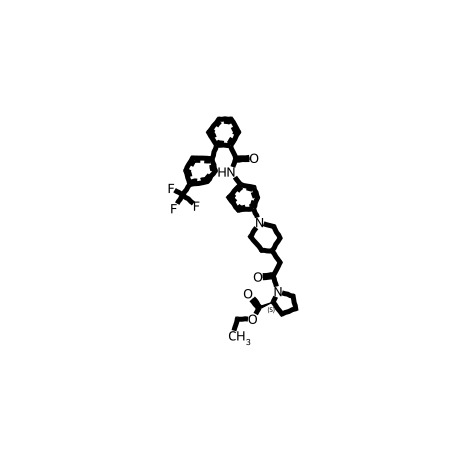 CCOC(=O)[C@@H]1CCCN1C(=O)CC1CCN(c2ccc(NC(=O)c3ccccc3-c3ccc(C(F)(F)F)cc3)cc2)CC1